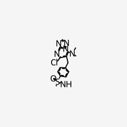 CN(C)c1c(Cc2ccc(S(C)(=N)=O)cc2)c(Cl)nc2ncnn12